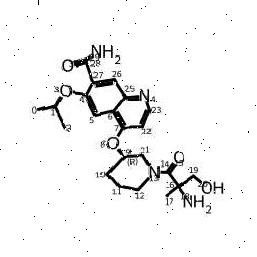 CC(C)Oc1cc2c(O[C@@H]3CCCN(C(=O)C(C)(N)CO)C3)ccnc2cc1C(N)=O